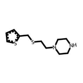 c1csc(CSCCN2CCNCC2)c1